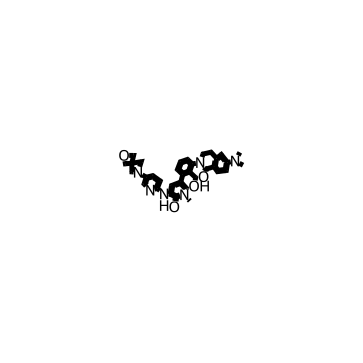 CN(C)c1ccc2c(c1)CCN(c1cccc(-c3cc(Nc4ccc(N5CC6(COC6)C5)cn4)c(=O)n(C)c3)c1CO)C2=O